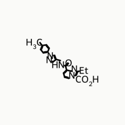 CCc1nc2c(C(=O)NCc3cnn(-c4ccc(C)cc4)c3)cccn2c1C(=O)O